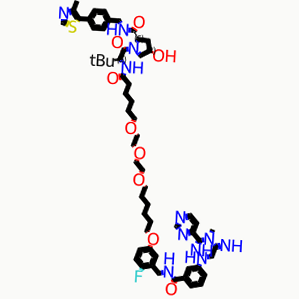 Cc1ncsc1-c1ccc(CNC(=O)[C@@H]2C[C@@H](O)CN2C(=O)[C@@H](NC(=O)CCCCCOCCOCCOCCCCCCOc2ccc(F)c(CNC(=O)c3cccc(NCC(=N)N(C)C(=N)c4ccncn4)c3)c2)C(C)(C)C)cc1